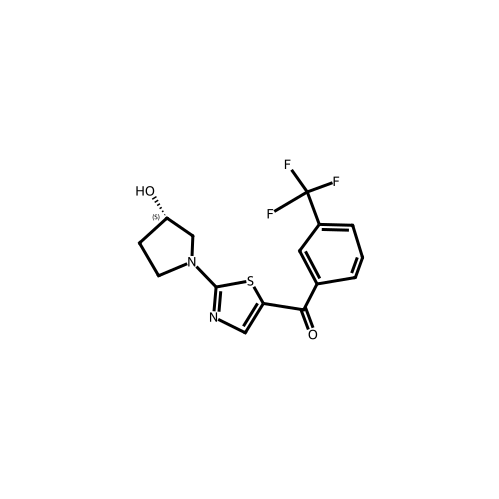 O=C(c1cccc(C(F)(F)F)c1)c1cnc(N2CC[C@H](O)C2)s1